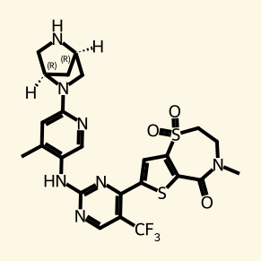 Cc1cc(N2C[C@H]3C[C@@H]2CN3)ncc1Nc1ncc(C(F)(F)F)c(-c2cc3c(s2)C(=O)N(C)CCS3(=O)=O)n1